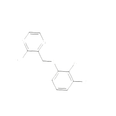 Cc1nccnc1COc1cccc(Cl)c1Br